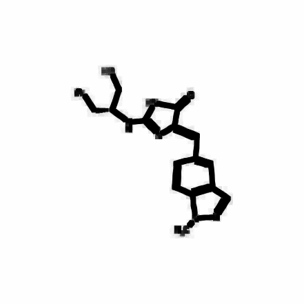 CC(C)C[C@H](CO)NC1=N/C(=C\c2ccc3c(cnn3C)c2)C(=O)N1